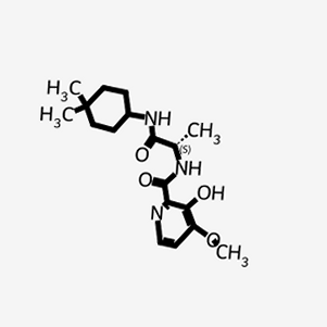 COc1ccnc(C(=O)N[C@@H](C)C(=O)NC2CCC(C)(C)CC2)c1O